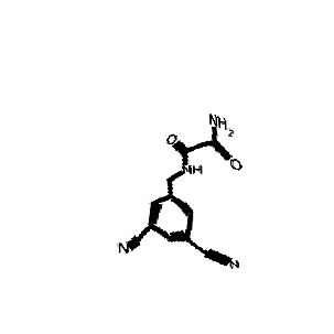 N#Cc1cc(C#N)cc(CNC(=O)C(N)=O)c1